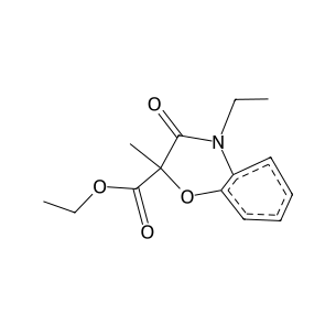 CCOC(=O)C1(C)Oc2ccccc2N(CC)C1=O